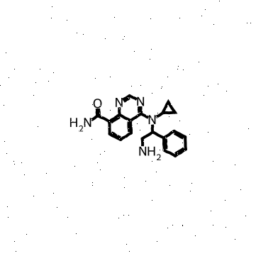 NCC(c1ccccc1)N(c1ncnc2c(C(N)=O)cccc12)C1CC1